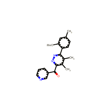 COc1cc(C)ccc1-c1nnc(C(=O)c2cccnc2)c(C)c1C